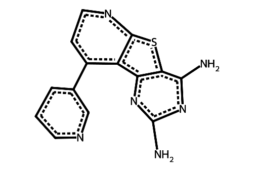 Nc1nc(N)c2sc3nccc(-c4cccnc4)c3c2n1